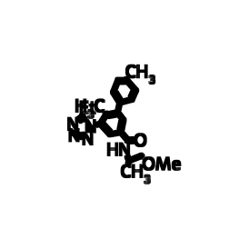 CCc1nnnn1-c1cc(C(=O)NC(C)COC)cc(-c2ccc(C)cc2)c1C